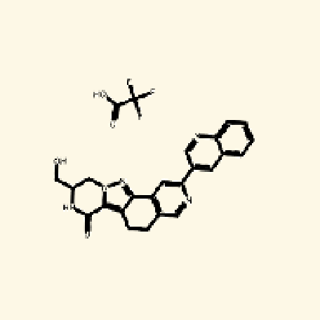 O=C(O)C(F)(F)F.O=C1NC(CO)Cn2nc3c(c21)CCc1cnc(-c2cnc4ccccc4c2)cc1-3